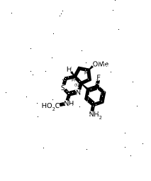 CO[C@@H]1C[C@H]2CSC(NC(=O)O)=N[C@@]2(c2cc(N)ccc2F)C1